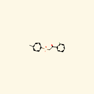 Cc1ccc(S(=O)(=O)CC(=O)c2ccccc2F)cc1